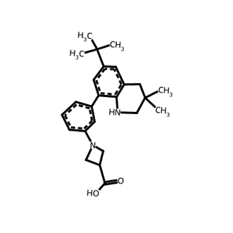 CC1(C)CNc2c(cc(C(C)(C)C)cc2-c2cccc(N3CC(C(=O)O)C3)c2)C1